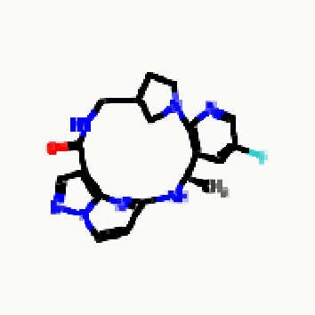 C[C@H]1Nc2ccn3ncc(c3n2)C(=O)NCC2CCN(C2)c2ncc(F)cc21